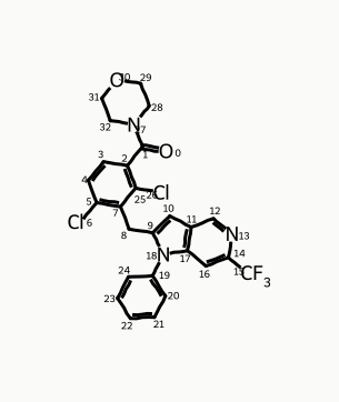 O=C(c1ccc(Cl)c(Cc2cc3cnc(C(F)(F)F)cc3n2-c2ccccc2)c1Cl)N1CCOCC1